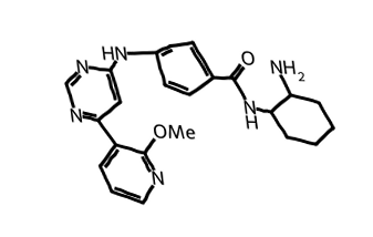 COc1ncccc1-c1cc(Nc2ccc(C(=O)NC3CCCCC3N)cc2)ncn1